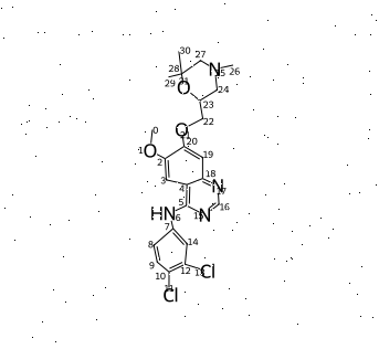 COc1cc2c(Nc3ccc(Cl)c(Cl)c3)ncnc2cc1OCC1CN(C)CC(C)(C)O1